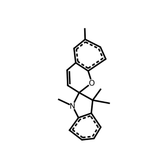 Cc1ccc2c(c1)C=CC1(O2)N(C)c2ccccc2C1(C)C